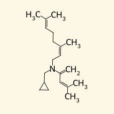 C=C(C=C(C)C)N(C/C=C(/C)CCC=C(C)C)CC1CC1